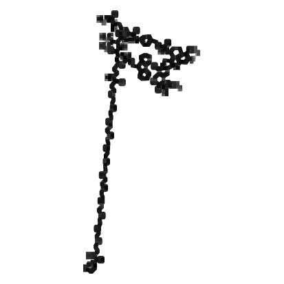 CC[C@@]1(O)C(=O)OCc2c1cc1n(c2=O)Cc2c-1nc1cc(F)c(C)c3c1c2[C@@H](NC(=O)OCc1ccc(NC(=O)[C@H](CCCNC(N)=O)NC(=O)[C@@H](NC(=O)[C@H](CCCCNC(=O)CCOCCOCCOCCOCCOCCOCCOCCOCCOCCOCCOCCOCCNC(=O)n2ccnc2)NC(=O)OCC2c4ccccc4-c4ccccc42)C(C)C)cc1)CC3